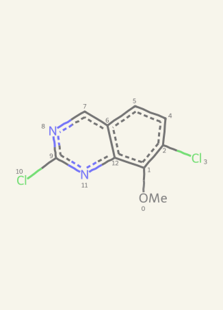 COc1c(Cl)ccc2cnc(Cl)nc12